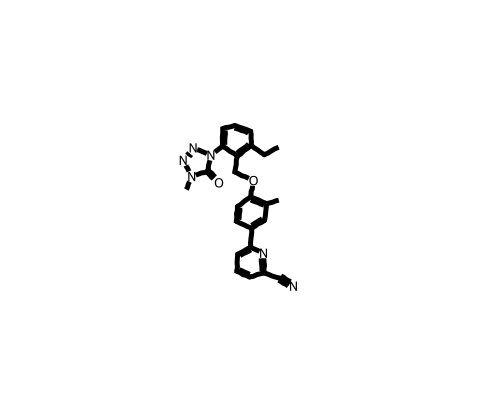 CCc1cccc(-n2nnn(C)c2=O)c1COc1ccc(-c2cccc(C#N)n2)cc1C